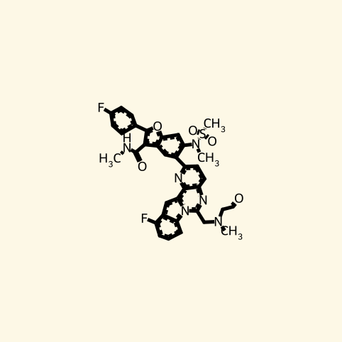 CNC(=O)c1c(-c2ccc(F)cc2)oc2cc(N(C)S(C)(=O)=O)c(-c3ccc4nc(CN(C)CC=O)n5c6cccc(F)c6cc5c4n3)cc12